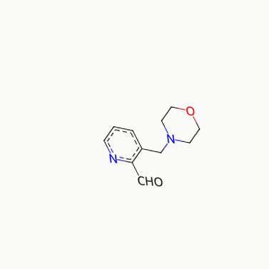 O=Cc1ncccc1CN1CCOCC1